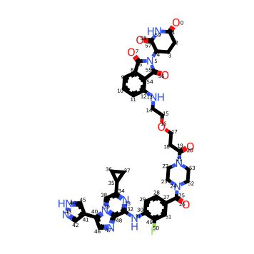 O=C1CCC(N2C(=O)c3cccc(NCCOCCC(=O)N4CCN(C(=O)c5ccc(Nc6nc(C7CC7)cn7c(-c8cn[nH]c8)cnc67)c(F)c5)CC4)c3C2=O)C(=O)N1